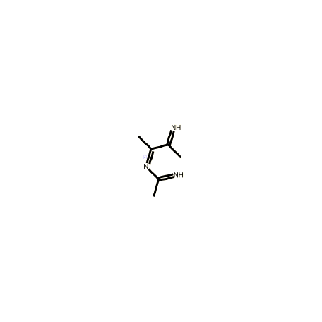 CC(=N)/N=C(/C)C(C)=N